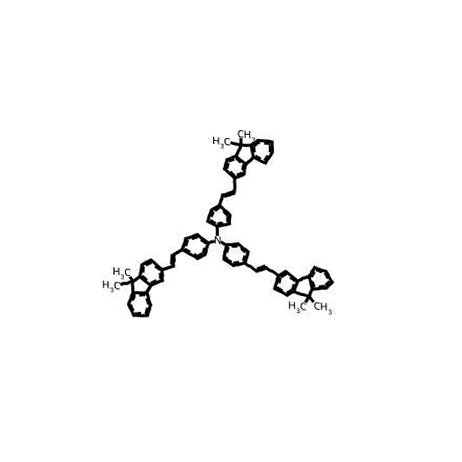 CC1(C)c2ccccc2-c2cc(/C=C/c3ccc(N(c4ccc(/C=C/c5ccc6c(c5)-c5ccccc5C6(C)C)cc4)c4ccc(/C=C/c5ccc6c(c5)-c5ccccc5C6(C)C)cc4)cc3)ccc21